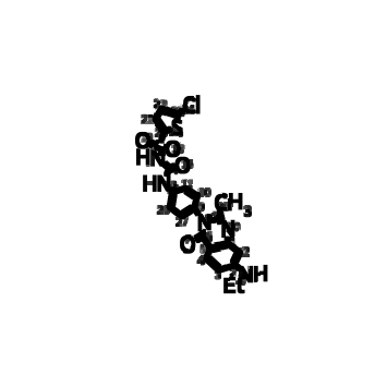 CCNc1ccc2c(=O)n(-c3ccc(NC(=O)NS(=O)(=O)c4ccc(Cl)s4)cc3)c(C)nc2c1